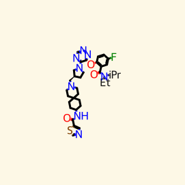 CCN(C(=O)c1cc(F)ccc1Oc1nncnc1N1CC[C@@H](CN2CCC3(CCC(NC(=O)c4cncs4)CC3)CC2)C1)C(C)C